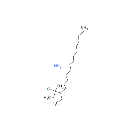 CCCCCCCCCCCCCCC(CC)C(C)(Cl)CC.N